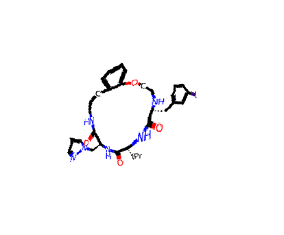 CC(C)[C@H]1NC(=O)[C@@H](Cc2cccc(I)c2)NCCOc2ccccc2CCCNC(=O)[C@H](Cn2cccn2)NC1=O